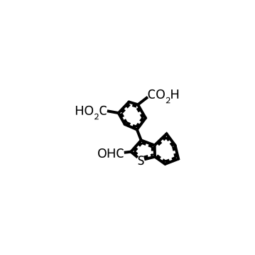 O=Cc1sc2ccccc2c1-c1cc(C(=O)O)cc(C(=O)O)c1